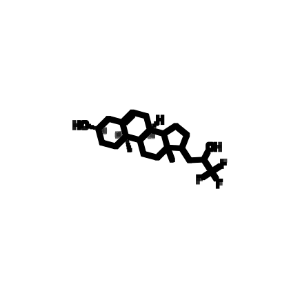 CC12CCC3[C@@H](CC=C4C[C@@H](O)CC[C@@]43C)C1CCC2CC(O)C(F)(F)F